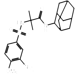 COc1ccc(S(=O)(=O)NC(C)(C)C(=O)NC2C3CC4CC(C3)CC2C4)cc1[N+](=O)[O-]